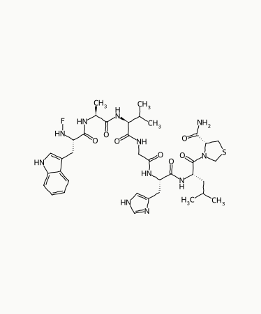 CC(C)C[C@H](NC(=O)[C@H](Cc1c[nH]cn1)NC(=O)CNC(=O)[C@@H](NC(=O)[C@H](C)NC(=O)[C@H](Cc1c[nH]c2ccccc12)NF)C(C)C)C(=O)N1CSC[C@H]1C(N)=O